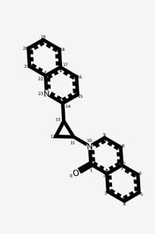 O=c1c2ccccc2ccn1C1CC1c1ccc2ccccc2n1